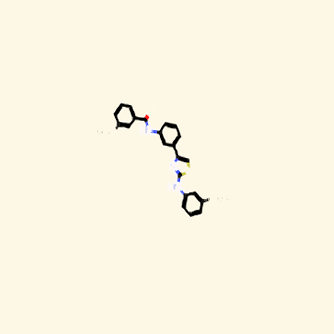 COc1cccc(Nc2nc(-c3cccc(NC(=O)c4cccc(OC)c4)c3)cs2)c1